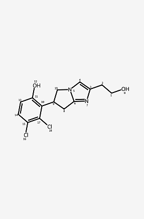 OCCc1cn2c(n1)CC(c1c(O)ccc(Cl)c1Cl)C2